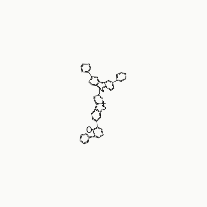 c1ccc(-c2ccc3c(c2)c2cc(-c4ccccc4)ccc2n3-c2ccc3c(c2)sc2cc(-c4cccc5c4oc4ccccc45)ccc23)cc1